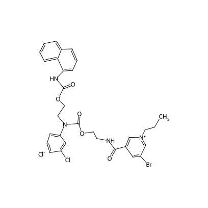 CCC[n+]1cc(Br)cc(C(=O)NCCOC(=O)N(CCOC(=O)Nc2cccc3ccccc23)c2cccc(Cl)c2)c1.[Cl-]